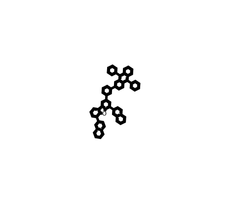 c1ccc(-c2c3ccccc3c(-c3ccccc3)c3cc(-c4cccc(-c5cc(-c6ccc7ccccc7c6)c6oc7c(-c8ccc9ccccc9c8)cccc7c6c5)c4)ccc23)cc1